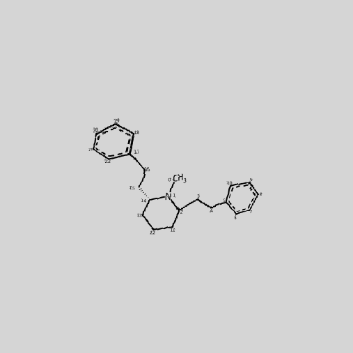 CN1C(CCc2ccccc2)CCC[C@@H]1CCc1ccccc1